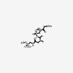 CCOP(=O)(O)CNC(=O)CN(C)C(C)OP(=O)(CNC(=O)CNC)OC(C)C